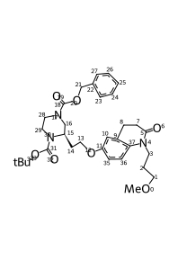 COCCCN1C(=O)CCc2cc(OCC[C@@H]3CN(C(=O)OCc4ccccc4)CCN3C(=O)OC(C)(C)C)ccc21